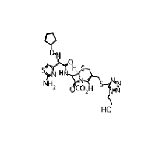 Nc1nc(/C(=N\OC2CCCC2)C(=O)NC2C(=O)N3C(C(=O)O)=C(CSc4nnnn4CCO)CS[C@H]23)cs1